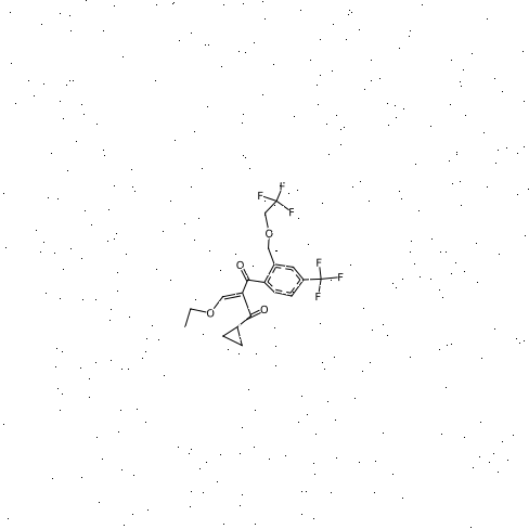 CCOC=C(C(=O)c1ccc(C(F)(F)F)cc1COCC(F)(F)F)C(=O)C1CC1